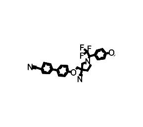 COc1ccc(C(N2CCC(C#N)(COc3ccc(-c4ccc(C#N)cc4)cc3)C2)C(F)(F)F)cc1